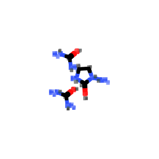 NC(N)=O.NC(N)=O.NN1CCNC1=O